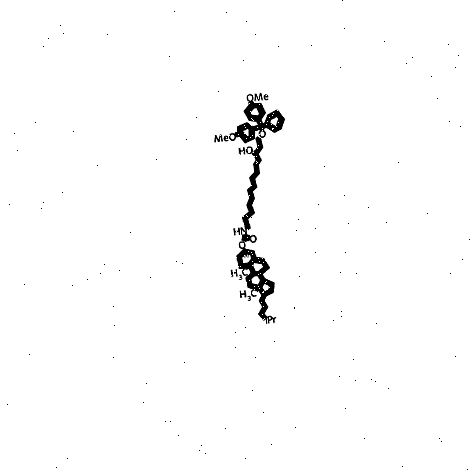 COc1ccc(C(OCCC(O)CCCCCCCCCCCNC(=O)O[C@@H]2CC[C@]3(C)C(=CCC4C5CCC(CCCC(C)C)[C@]5(C)CCC43)C2)(c2ccccc2)c2ccc(OC)cc2)cc1